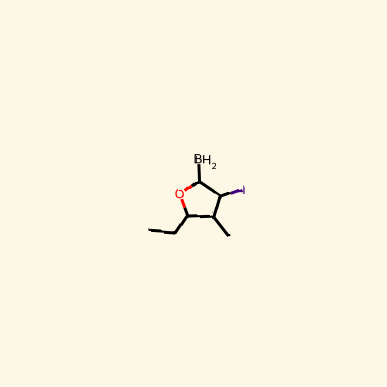 BC1OC(CC)C(C)C1I